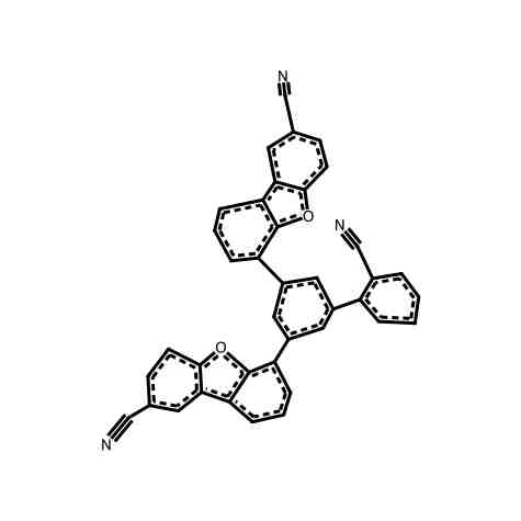 N#Cc1ccc2oc3c(-c4cc(-c5ccccc5C#N)cc(-c5cccc6c5oc5ccc(C#N)cc56)c4)cccc3c2c1